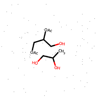 CC(=O)OCC(CO)OC(C)=O.CC(O)CO